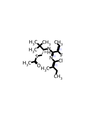 C\C=C(F)/C(=N\C(Cl)=C(/C)CC)N[C@H](CSC(C)=O)C(C)(C)C